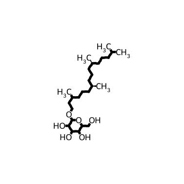 CC(C)CCC[C@@H](C)CCC[C@@H](C)CCCC(C)CCOC1OC(CO)C(O)C(O)C1O